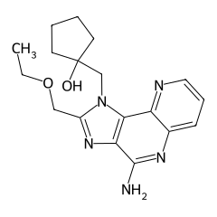 CCOCc1nc2c(N)nc3cccnc3c2n1CC1(O)CCCC1